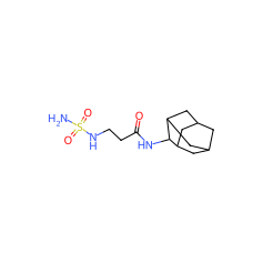 NS(=O)(=O)NCCC(=O)NC1C2CC3CC(C2)CC1C3